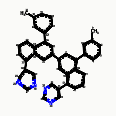 Cc1cccc(-c2cc(-c3cc(-c4cccc(C)c4)c4cccc(-c5cncnc5)c4c3)cc3c(-c4cncnc4)cccc23)c1